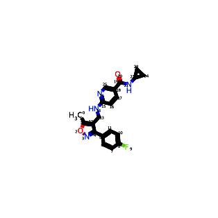 Cc1onc(-c2ccc(F)cc2)c1CNc1ccc(C(=O)NC2CC2)cn1